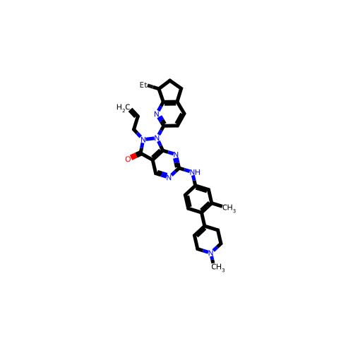 C=CCn1c(=O)c2cnc(Nc3ccc(C4=CCN(C)CC4)c(C)c3)nc2n1-c1ccc2c(n1)C(CC)CC2